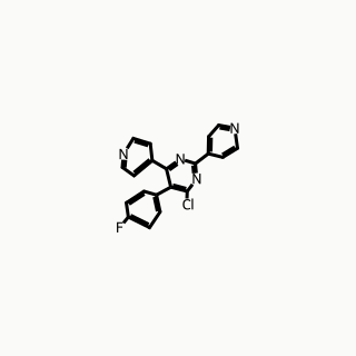 Fc1ccc(-c2c(Cl)nc(-c3ccncc3)nc2-c2ccncc2)cc1